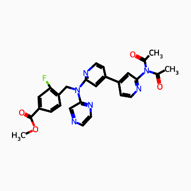 COC(=O)c1ccc(CN(c2cnccn2)c2cc(-c3ccnc(N(C(C)=O)C(C)=O)c3)ccn2)c(F)c1